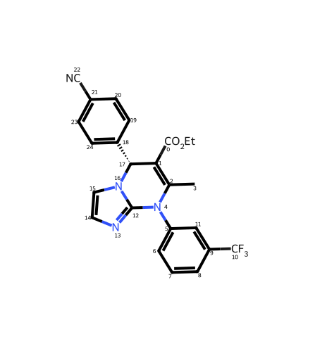 CCOC(=O)C1=C(C)N(c2cccc(C(F)(F)F)c2)c2nccn2[C@@H]1c1ccc(C#N)cc1